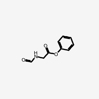 O=CNCC(=O)Oc1ccccc1